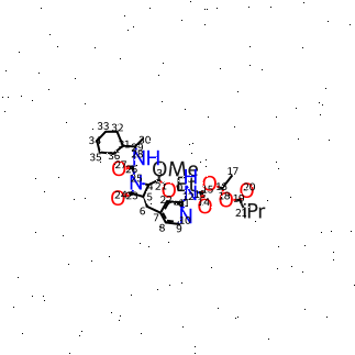 CCOC(OC)C1[C@@H](Cc2ccnc(NC(=O)OC(C)OC(=O)C(C)C)c2)C(=O)N1C(=O)NC(C)C1CCCCC1